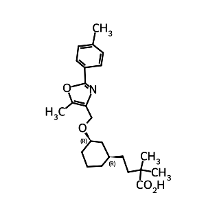 Cc1ccc(-c2nc(CO[C@@H]3CCC[C@H](CCC(C)(C)C(=O)O)C3)c(C)o2)cc1